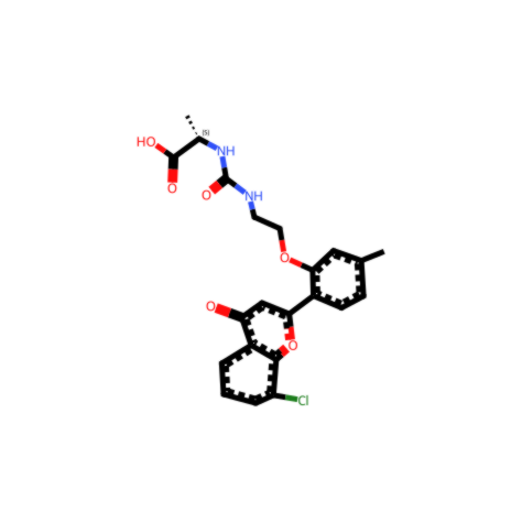 Cc1ccc(-c2cc(=O)c3cccc(Cl)c3o2)c(OCCNC(=O)N[C@@H](C)C(=O)O)c1